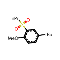 CCCS(=O)(=O)c1cc(C(C)(C)C)ccc1OC